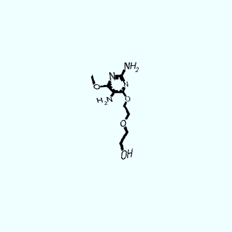 COc1nc(N)nc(OCCOCCO)c1N